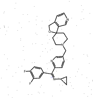 Fc1ccc(/C(=N/C2CC2)c2ccc(CN3CCC4(CC3)OCc3ccncc34)cn2)cc1F